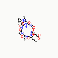 CCCCC(C)CC1NC(=O)C(C(OC)c2c[nH]c3ccccc23)N(C)C(=O)C(CC(C)C)NC(=O)C(CC(C)C)N(C)C(=O)C(CC(C)CCCC)NC(=O)C(CCC=CC(=O)OC)OC(=O)C(C)N(C)C1=O